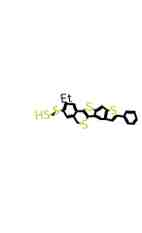 CCc1cc2c(cc1SCS)CSc1c-2sc2cc3sc(-c4ccccc4)cc3cc12